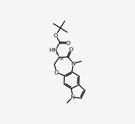 CN1C(=O)[C@H](NC(=O)OC(C)(C)C)COc2cc3c(ccn3C)cc21